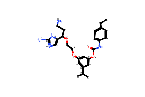 CCc1ccc(NC(=O)Oc2cc(OCCOC(CCN)c3cnc(N)[nH]3)cc(C(C)C)c2)cc1